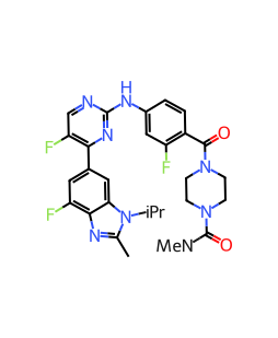 CNC(=O)N1CCN(C(=O)c2ccc(Nc3ncc(F)c(-c4cc(F)c5nc(C)n(C(C)C)c5c4)n3)cc2F)CC1